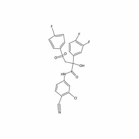 N#Cc1ccc(NC(=O)C(O)(CS(=O)(=O)c2ccc(F)cc2)c2ccc(F)c(F)c2)cc1Cl